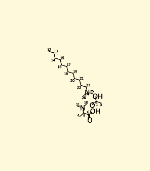 CC(=O)O.CC(C(=O)O)N(C)C.CCCCCCCCCCCCN(C)C